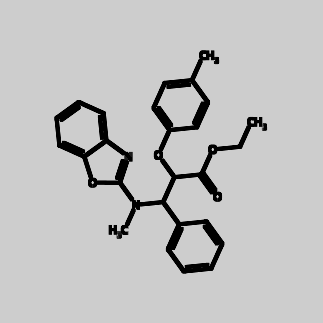 CCOC(=O)C(Oc1ccc(C)cc1)C(c1ccccc1)N(C)c1nc2ccccc2o1